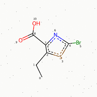 CCc1sc(Br)nc1C(=O)O